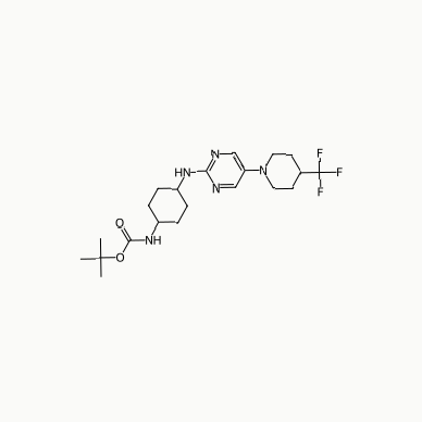 CC(C)(C)OC(=O)NC1CCC(Nc2ncc(N3CCC(C(F)(F)F)CC3)cn2)CC1